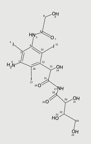 Nc1c(I)c(NC(=O)CO)c(I)c(C(O)C(=O)NC(=O)C(O)C(O)CO)c1I